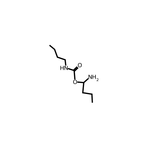 CCCCNC(=O)OC(N)CCC